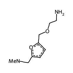 CNCc1ccc(COCCN)o1